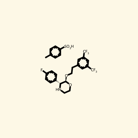 Cc1ccc(S(=O)(=O)O)cc1.Fc1ccc([C@H]2NCCO[C@@H]2OCCc2cc(C(F)(F)F)cc(C(F)(F)F)c2)cc1